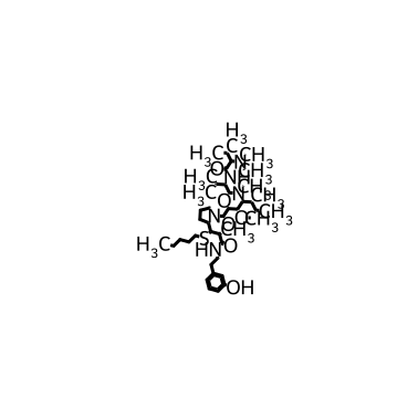 CCCCCSC(C(C)C(=O)NCCc1cccc(O)c1)C1CCCN1C(=O)CC(OC)C(C(C)CC)N(C)C(=O)C(NC(=O)C(C(C)C)N(C)C)C(C)C